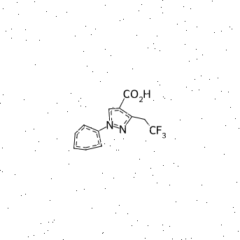 O=C(O)c1cn(-c2ccccc2)nc1CC(F)(F)F